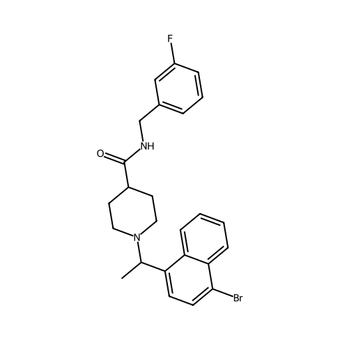 CC(c1ccc(Br)c2ccccc12)N1CCC(C(=O)NCc2cccc(F)c2)CC1